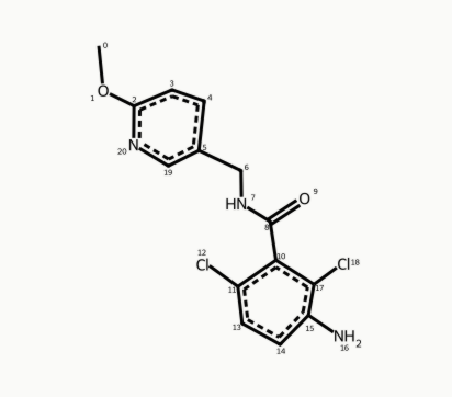 COc1ccc(CNC(=O)c2c(Cl)ccc(N)c2Cl)cn1